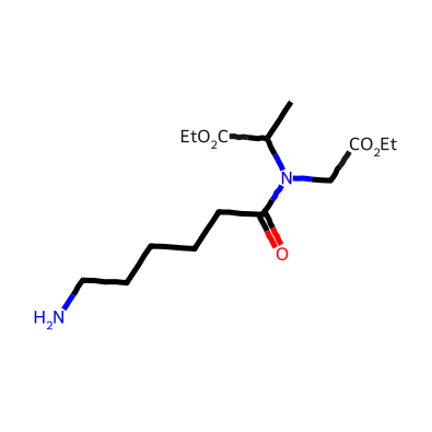 CCOC(=O)CN(C(=O)CCCCCN)C(C)C(=O)OCC